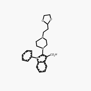 O=C(O)c1c(N2CCN(CCC3OCCO3)CC2)n(-c2ccccc2)c2ccccc12